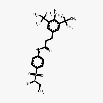 CCN(Br)S(=O)(=O)c1ccc(NC(=O)CCc2cc(C(C)(C)C)c(O)c(C(C)(C)C)c2)cc1